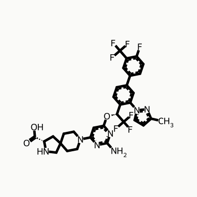 Cc1ccn(-c2cc(-c3ccc(F)c(C(F)(F)F)c3)ccc2[C@@H](Oc2cc(N3CCC4(CC3)CN[C@H](C(=O)O)C4)nc(N)n2)C(F)(F)F)n1